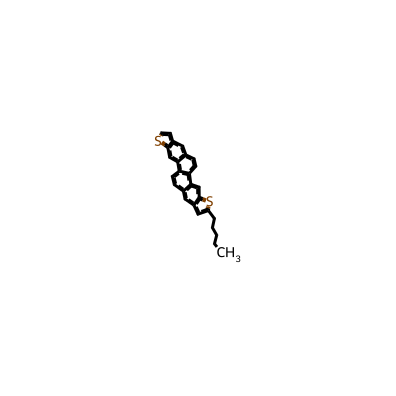 CCCCCc1cc2cc3ccc4c5cc6sccc6cc5ccc4c3cc2s1